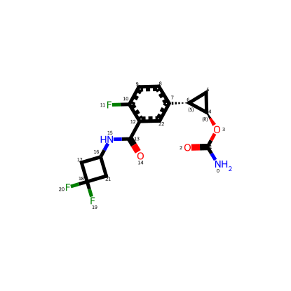 NC(=O)O[C@@H]1C[C@H]1c1ccc(F)c(C(=O)NC2CC(F)(F)C2)c1